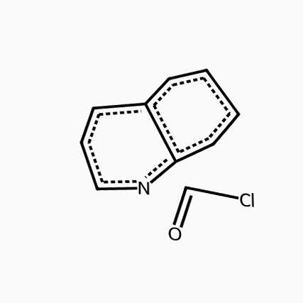 O=CCl.c1ccc2ncccc2c1